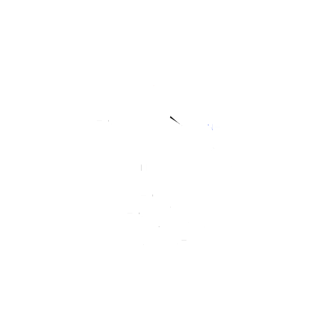 CCOC(C=O)[C@H]1NC(=O)[C@@H]1[C@@H](C)O[Si](C)(C)C(C)(C)C